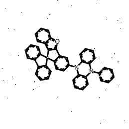 c1ccc(N2c3ccccc3N(c3ccc4c(c3)-c3oc5ccccc5c3C43c4ccccc4-c4ccccc43)c3ccccc32)cc1